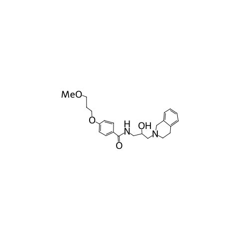 COCCCOc1ccc(C(=O)NCC(O)CN2CCc3ccccc3C2)cc1